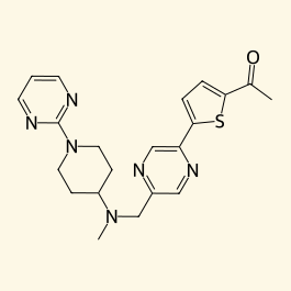 CC(=O)c1ccc(-c2cnc(CN(C)C3CCN(c4ncccn4)CC3)cn2)s1